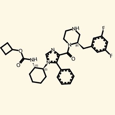 O=C(N[C@H]1CCCC[C@@H]1n1cnc(C(=O)N2CCNC[C@H]2Cc2cc(F)cc(F)c2)c1-c1ccccc1)OC1CCC1